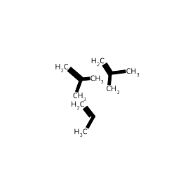 C=C(C)C.C=C(C)C.C=CC